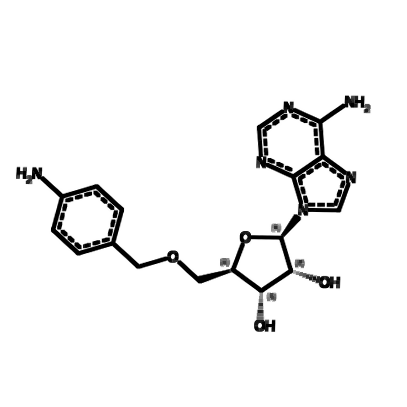 Nc1ccc(COC[C@H]2O[C@@H](n3cnc4c(N)ncnc43)[C@H](O)[C@@H]2O)cc1